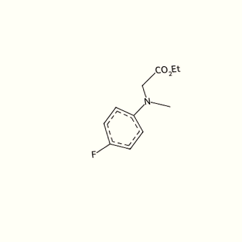 CCOC(=O)CN(C)c1ccc(F)cc1